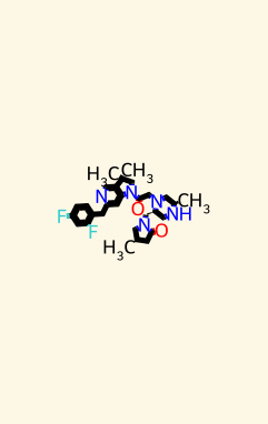 C[C@H]1CC(=O)N(C[C@H]2CN[C@H](C)CN2CC(=O)N2CC(C)(C)c3cnc(Cc4ccc(F)cc4F)cc32)C1